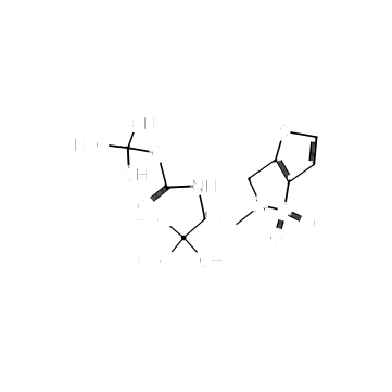 CC(C)(C)OC(=O)N[C@H](CN1Cc2sccc2S1(=O)=O)C(C)(C)C